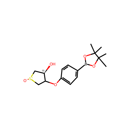 CC1(C)OB(c2ccc(OC3C[S+]([O-])C[C@H]3O)cc2)OC1(C)C